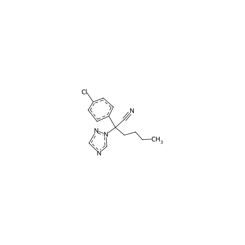 CCCCC(C#N)(c1ccc(Cl)cc1)n1cncn1